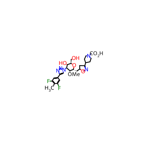 CO[C@@H]1[C@@H](n2cc(-c3cc(F)c(C)c(F)c3)nn2)[C@@H](O)[C@@H](CO)O[C@@H]1CC1CC(C2CCN(C(=O)O)CC2)=NO1